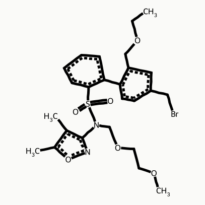 CCOCc1cc(CBr)ccc1-c1ccccc1S(=O)(=O)N(COCCOC)c1noc(C)c1C